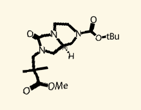 COC(=O)C(C)(C)CN1C[C@@H]2CN(C(=O)OC(C)(C)C)CCN2C1=O